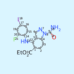 CCOC(=O)c1ccc2c(cnn2C(N)=O)c1Nc1ccc(I)cc1F